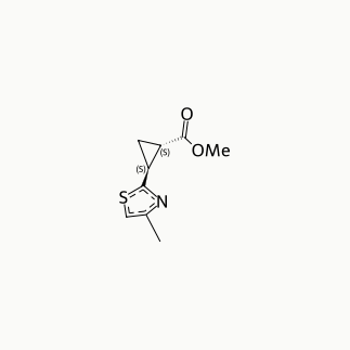 COC(=O)[C@H]1C[C@@H]1c1nc(C)cs1